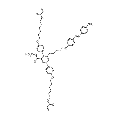 C=CC(=O)OCCCCCCOc1ccc(-c2cc(CCCCCOc3ccc(N=Nc4ccc([N+](=O)[O-])cc4)cc3)c(-c3ccc(OCCCCCCOC(=O)C=C)cc3)c(C(=O)OC(=O)O)c2)cc1